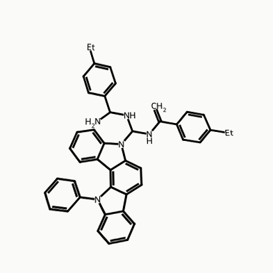 C=C(NC(NC(N)c1ccc(CC)cc1)n1c2ccccc2c2c3c(ccc21)c1ccccc1n3-c1ccccc1)c1ccc(CC)cc1